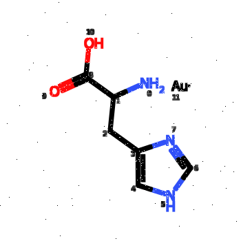 NC(Cc1c[nH]cn1)C(=O)O.[Au]